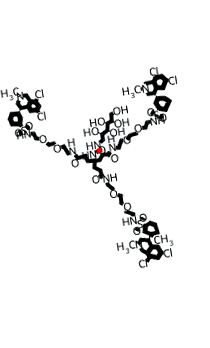 CN1Cc2c(Cl)cc(Cl)cc2[C@H](c2cccc(S(=O)(=O)NCCOCCOCCNC(=O)CCC(CCC(=O)NCCOCCOCCNS(=O)(=O)C3=CC(C)([C@@H]4CN(C)Cc5c(Cl)cc(Cl)cc54)CC=C3)(CCC(=O)NCCOCCOCCNS(=O)(=O)c3cccc([C@@H]4CN(C)Cc5c(Cl)cc(Cl)cc54)c3)NC(=O)NC[C@H](O)[C@@H](O)[C@H](O)[C@H](O)CO)c2)C1